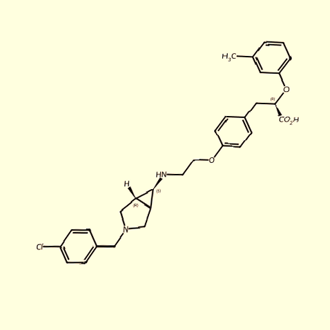 Cc1cccc(O[C@H](Cc2ccc(OCCN[C@H]3C4CN(Cc5ccc(Cl)cc5)C[C@@H]43)cc2)C(=O)O)c1